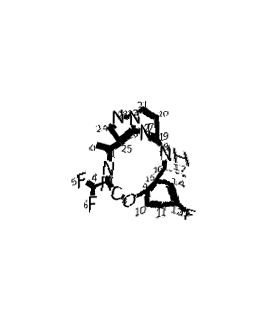 C=C1N[C@H](C(F)F)COc2ccc(F)cc2[C@@H](C)Nc2ccn3ncc1c3n2